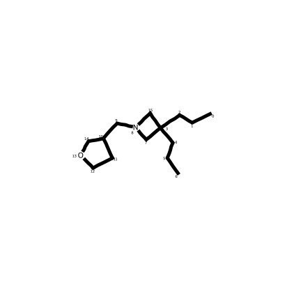 CCCC1(CCC)CN(CC2CCOC2)C1